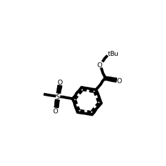 CC(C)(C)OC(=O)c1cccc(S(C)(=O)=O)c1